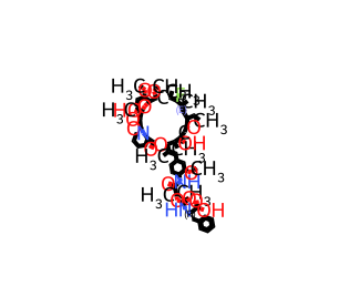 CCC1/C=C(\C)C(F)C(C)CC(OC)C2OC(O)(C(=O)C(=O)N3CCCCC3C(=O)OC(C(C)=CC3CCC(NC(=O)C(C)(C)OC(=O)N[C@H](Cc4ccccc4)C(=O)O)C(OC)C3)C(C)C(O)CC1=O)C(C)CC2OC